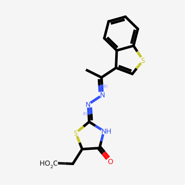 C/C(=N\N=C1/NC(=O)C(CC(=O)O)S1)c1csc2ccccc12